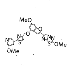 COc1cncc(-c2nc(COc3cc(OC)cc4oc(-c5cn6nc(OC)sc6n5)cc34)cs2)c1